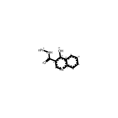 CCCNC(=O)c1cnc2ccccc2c1O